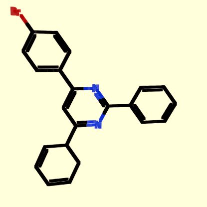 Brc1ccc(-c2cc(C3C=CC=CC3)nc(-c3ccccc3)n2)cc1